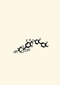 CCCC1(C)COC(O)(c2cc(F)c(C(F)(F)Oc3ccc(-c4ccc(F)c(F)c4)c(F)c3)c(F)c2)OC1